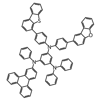 c1ccc(N(c2ccccc2)c2cc(N(c3ccc(-c4ccc5oc6ccccc6c5c4)cc3)c3ccc(-c4cccc5c4sc4ccccc45)cc3)cc(N(c3ccccc3)c3ccc4c5ccccc5c5ccccc5c4c3)c2)cc1